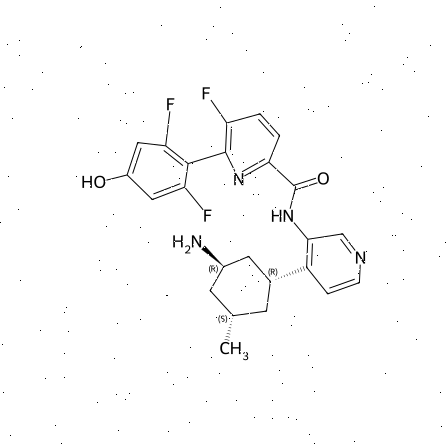 C[C@@H]1C[C@@H](N)C[C@H](c2ccncc2NC(=O)c2ccc(F)c(-c3c(F)cc(O)cc3F)n2)C1